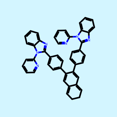 C1=c2cc(-c3ccc(-c4nc5ccccc5n4-c4ccccn4)cc3)c(-c3ccc(-c4nc5ccccc5n4-c4ccccn4)cc3)cc2=CCC1